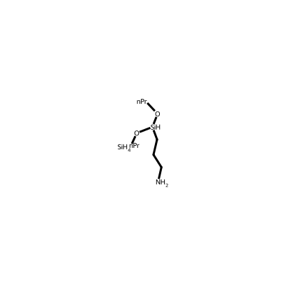 CCCO[SiH](CCCN)OCCC.[SiH4]